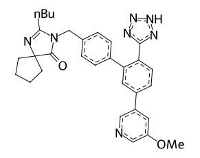 CCCCC1=NC2(CCCC2)C(=O)N1Cc1ccc(-c2cc(-c3cncc(OC)c3)ccc2-c2nn[nH]n2)cc1